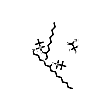 CCCCCCCCC(CN(CCCN)CC(CCCCCCCC)O[Si](C)(C)C(C)(C)C)O[Si](C)(C)C(C)(C)C.O=C(O)C(F)(F)F